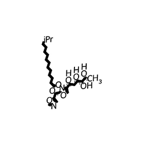 CC(C)CCCCCCCCCCCC(=O)O[C@@H](c1cnco1)c1nc([C@@H](O)C[C@@H](O)[C@@H](O)[C@@H](C)O)co1